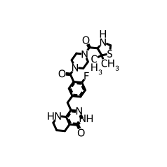 CC1(C)SCNC1C(=O)N1CCN(C(=O)c2cc(Cc3n[nH]c(=O)c4c3NCCC4)ccc2F)CC1